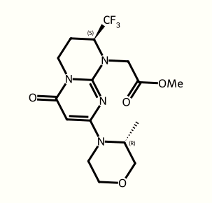 COC(=O)CN1c2nc(N3CCOC[C@H]3C)cc(=O)n2CC[C@H]1C(F)(F)F